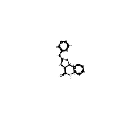 O=C1Oc2ccccc2C2CC(Cc3ccccc3)CC12